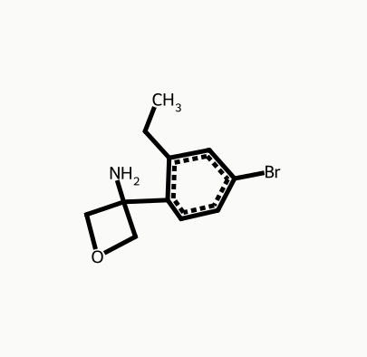 CCc1cc(Br)ccc1C1(N)COC1